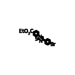 CCOC(=O)c1ccc2c(c1)sc1nc(-c3ccc(Br)cc3)cn12